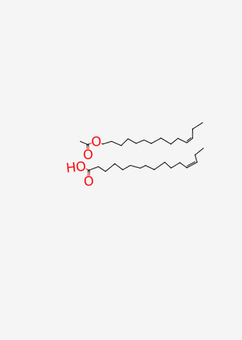 CC/C=C\CCCCCCCCCCCC(=O)O.CC/C=C\CCCCCCCCCCOC(C)=O